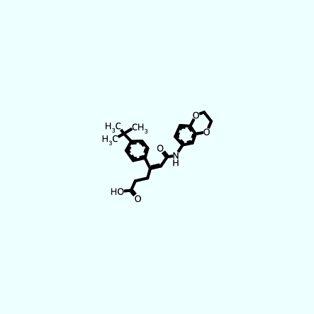 CC(C)(C)c1ccc(/C(=C\C(=O)Nc2ccc3c(c2)OCCO3)CCC(=O)O)cc1